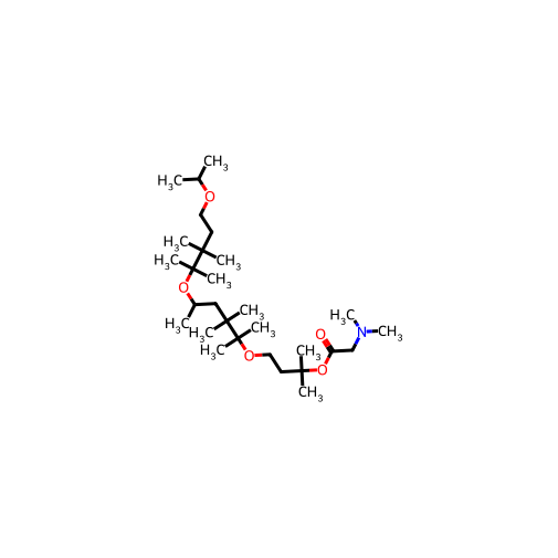 CC(C)OCCC(C)(C)C(C)(C)OC(C)CC(C)(C)C(C)(C)OCCC(C)(C)OC(=O)CN(C)C